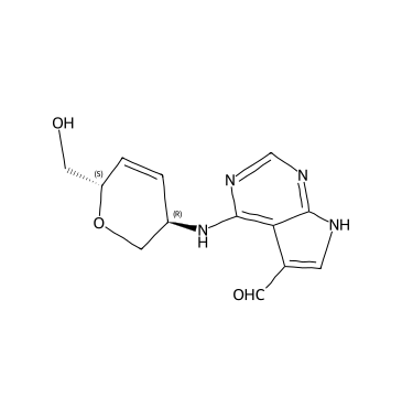 O=Cc1c[nH]c2ncnc(N[C@@H]3C=C[C@@H](CO)OC3)c12